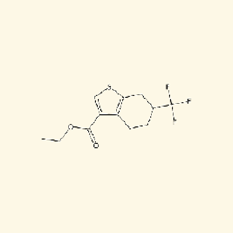 CCOC(=O)c1csc2c1CCC(C(F)(F)F)C2